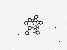 c1ccc(-c2cc(-c3ccccc3)cc(-c3nc(-n4c5ccccc5c5c6ccccc6c6c7ccccc7sc6c54)nc4c3oc3ccccc34)c2)cc1